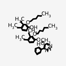 CCCCCCOc1c(O)ccc(CC)c1CC.CCCCCCOc1c(O)ccc(CC)c1CC.COc1cnnnc1-c1ccccc1